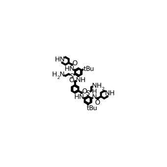 CC(C)(C)c1cc(NC(=O)c2cccc(C(=O)Nc3cc(C(C)(C)C)cc(NC(=O)C4CCNCC4)c3SCCN)c2)c(SCCN)c(NC(=O)C2CCNCC2)c1